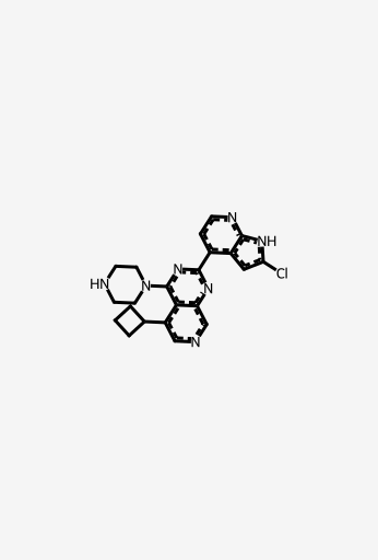 Clc1cc2c(-c3nc(N4CCNCC4)c4c(C5CCC5)cncc4n3)ccnc2[nH]1